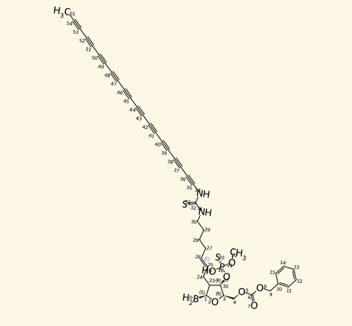 B[C@@H]1O[C@H](COC(=O)OCc2ccccc2)[C@H](OP(O)(=S)OC)C1C/C=C/CCCCNC(=S)NC#CC#CC#CC#CC#CC#CC#CC#CC#CC#CC